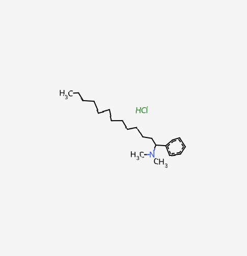 CCCCCCCCCCCCC(c1ccccc1)N(C)C.Cl